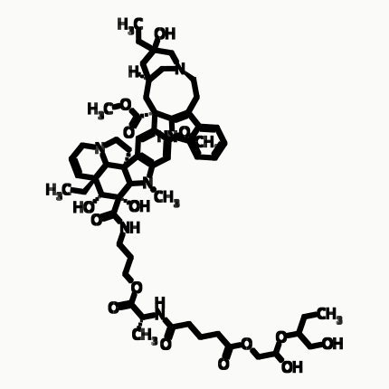 CCC(CO)OC(O)COC(=O)CCCC(=O)N[C@H](C)C(=O)OCCCNC(=O)[C@]1(O)C2N(C)c3cc(OC)c([C@@]4(C(=O)OC)C[C@@H]5C[N@](CCc6c4[nH]c4ccccc64)CC(O)(CC)C5)cc3[C@@]23CCN2CC=C[C@](CC)(C23)[C@H]1O